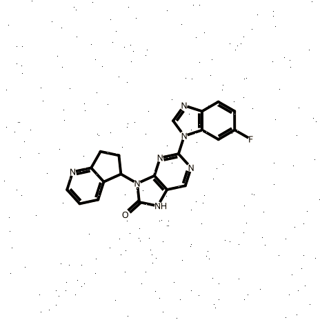 O=c1[nH]c2cnc(-n3cnc4ccc(F)cc43)nc2n1C1CCc2ncccc21